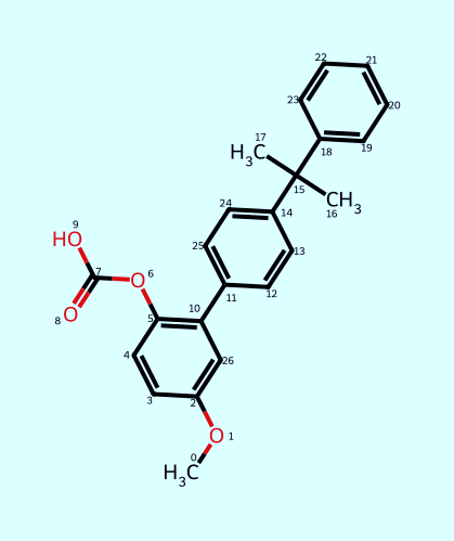 COc1ccc(OC(=O)O)c(-c2ccc(C(C)(C)c3ccccc3)cc2)c1